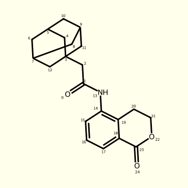 O=C(CC12CC3CC(CC(C3)C1)C2)Nc1cccc2c1CCOC2=O